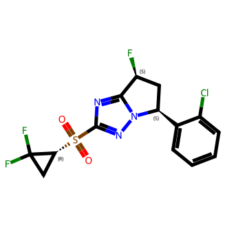 O=S(=O)(c1nc2n(n1)[C@H](c1ccccc1Cl)C[C@@H]2F)[C@@H]1CC1(F)F